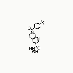 CC(C)(C)c1ccc(C(=O)N2CCc3cc(C(=O)NO)cnc3C2)cc1